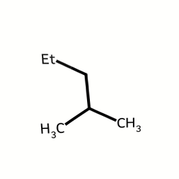 [CH2]CCC(C)C